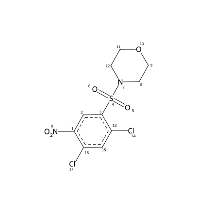 O=[N+]([O-])c1cc(S(=O)(=O)N2CCOCC2)c(Cl)cc1Cl